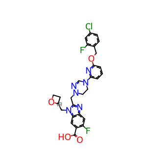 O=C(O)c1cc2c(cc1F)nc(CN1CCN(c3cccc(OCc4ccc(Cl)cc4F)n3)C=N1)n2C[C@@H]1CCO1